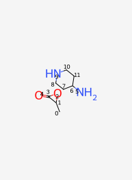 CC1OC1=O.NC1CCNCC1